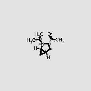 CC(=O)[C@@H]1C[C@@H]2C[C@@H]2N1C(C)C